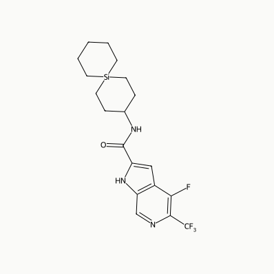 O=C(NC1CC[Si]2(CCCCC2)CC1)c1cc2c(F)c(C(F)(F)F)ncc2[nH]1